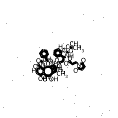 CC(=O)O[C@@]12CO[C@@H]1C[C@H](O)[C@@]1(C)C(=O)[C@H](O)C3=C(C)C(OC(=O)C(OC(=O)CCN4C(=O)C=CC4=O)C(NC(=O)OC(C)(C)C)c4ccccc4)C[C@@](O)(C(OC(=O)c4ccccc4)C12)C3(C)C